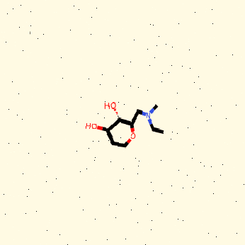 CCN(C)CC1OCCC(O)[C@@H]1O